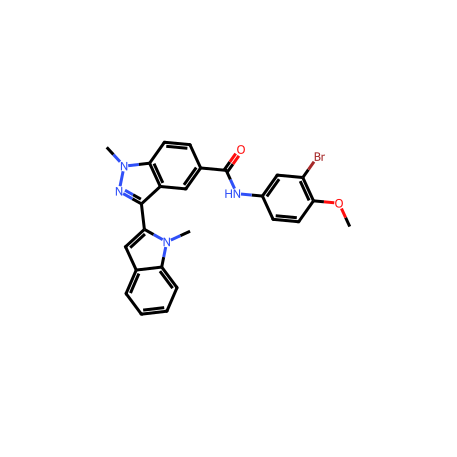 COc1ccc(NC(=O)c2ccc3c(c2)c(-c2cc4ccccc4n2C)nn3C)cc1Br